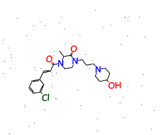 CC1C(=O)N(CCCN2CCC(O)CC2)CCN1C(=O)C=Cc1cccc(Cl)c1